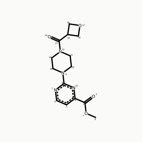 COC(=O)c1ccnc(N2CCN(C(=O)C3COC3)CC2)n1